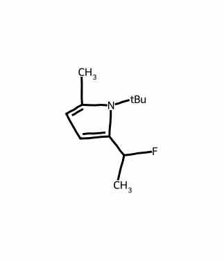 Cc1ccc(C(C)F)n1C(C)(C)C